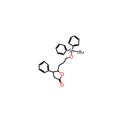 CC(C)(C)[Si](OCCCC1OC(=O)CC1c1ccccc1)(c1ccccc1)c1ccccc1